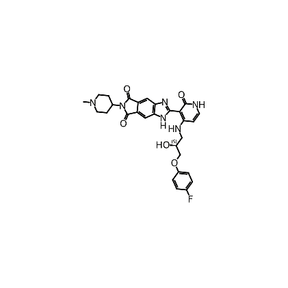 CN1CCC(N2C(=O)c3cc4nc(-c5c(NC[C@H](O)COc6ccc(F)cc6)cc[nH]c5=O)[nH]c4cc3C2=O)CC1